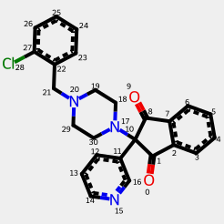 O=C1c2ccccc2C(=O)C1(c1cccnc1)N1CCN(Cc2ccccc2Cl)CC1